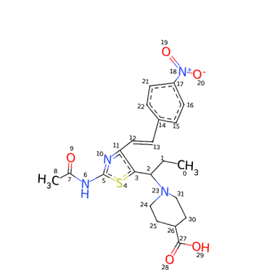 CCC(c1sc(NC(C)=O)nc1C=Cc1ccc([N+](=O)[O-])cc1)N1CCC(C(=O)O)CC1